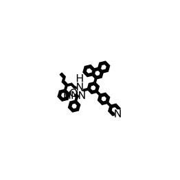 C=C/C=C1\CC(N/C(=N\C(=N)c2ccccc2)c2cc(-c3ccc(-c4ccncc4)cc3)cc(-c3cc4ccccc4c4ccccc34)c2)Oc2ccccc21